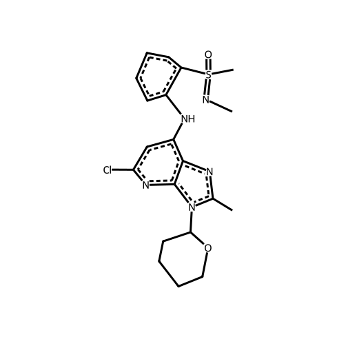 CN=S(C)(=O)c1ccccc1Nc1cc(Cl)nc2c1nc(C)n2C1CCCCO1